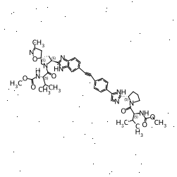 COC(=O)N[C@H](C(=O)N1CCC[C@H]1c1ncc(-c2ccc(C#Cc3ccc4nc([C@@H]5C[C@]6(CC(C)=NO6)CN5C(=O)[C@@H](NC(=O)OC)C(C)C)[nH]c4c3)cc2)[nH]1)C(C)C